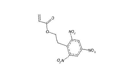 C=CC(=O)OCCc1c([N+](=O)[O-])cc([N+](=O)[O-])cc1[N+](=O)[O-]